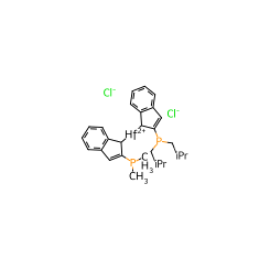 CC(C)CP(CC(C)C)C1=Cc2ccccc2[CH]1[Hf+2][CH]1C(P(C)C)=Cc2ccccc21.[Cl-].[Cl-]